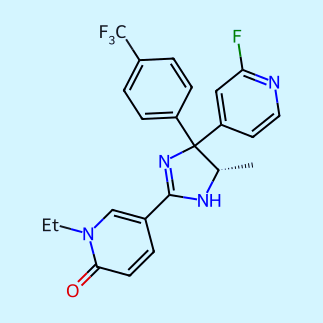 CCn1cc(C2=NC(c3ccc(C(F)(F)F)cc3)(c3ccnc(F)c3)[C@H](C)N2)ccc1=O